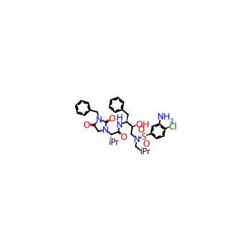 CC(C)CN(C[C@H](O)[C@H](Cc1ccccc1)NC(=O)[C@H](C(C)C)N1CC(=O)N(Cc2ccccc2)C1=O)S(=O)(=O)c1ccc(Cl)c(N)c1